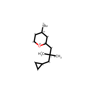 CC(C)(CC1CC1)CC1CC(C(C)(C)C)CCO1